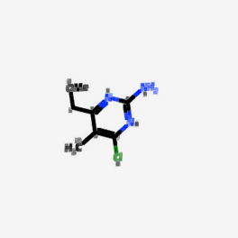 COCc1nc(N)nc(Cl)c1C